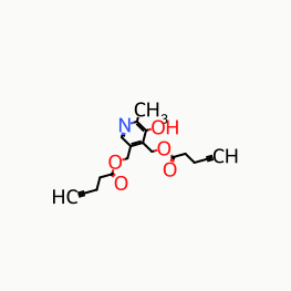 C#CCCC(=O)OCc1cnc(C)c(O)c1COC(=O)CCC#C